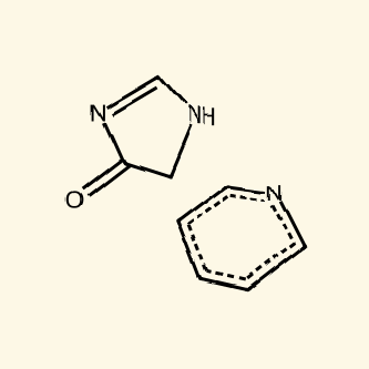 O=C1CNC=N1.c1ccncc1